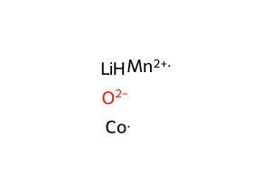 [Co].[LiH].[Mn+2].[O-2]